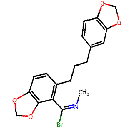 C/N=C(/Br)c1c(CCCc2ccc3c(c2)OCO3)ccc2c1OCO2